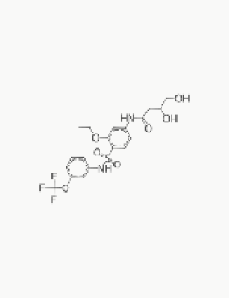 CCOc1cc(NC(=O)CC(O)CO)ccc1S(=O)(=O)Nc1cccc(OC(F)(F)F)c1